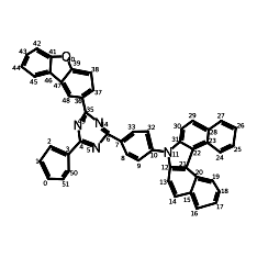 c1ccc(-c2nc(-c3ccc(-n4c5ccc6ccccc6c5c5c6ccccc6ccc54)cc3)nc(-c3ccc4oc5ccccc5c4c3)n2)cc1